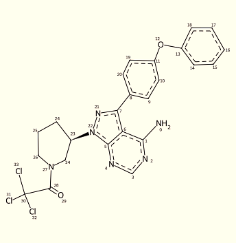 Nc1ncnc2c1c(-c1ccc(Oc3ccccc3)cc1)nn2[C@@H]1CCCN(C(=O)C(Cl)(Cl)Cl)C1